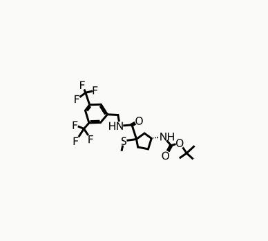 CSC1(C(=O)NCc2cc(C(F)(F)F)cc(C(F)(F)F)c2)CC[C@@H](NC(=O)OC(C)(C)C)C1